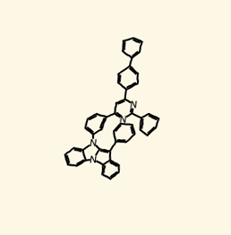 c1ccc(-c2ccc(-c3cc(-c4cccc(-n5c6ccccc6n6c7ccccc7c(-c7ccccc7)c56)c4)nc(-c4ccccc4)n3)cc2)cc1